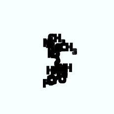 COc1cc(C=CC2NC3C(c4ccc(F)cc4)OCCN3N2)cnc1-n1cnc(C)c1